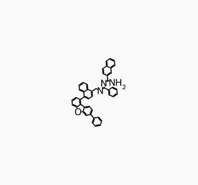 N/C(=N\C(=N/Cc1ccc(-c2cccc3oc4cc(-c5ccccc5)ccc4c23)c2ccccc12)c1ccccc1)c1ccc2ccccc2c1